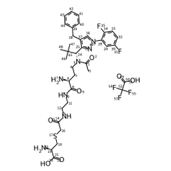 CC(=O)N(CC[C@H](N)C(=O)NCCNC(=O)CSC[C@H](N)C(=O)O)[C@@H](c1nn(-c2cc(F)ccc2F)cc1Cc1ccccc1)C(C)(C)C.O=C(O)C(F)(F)F